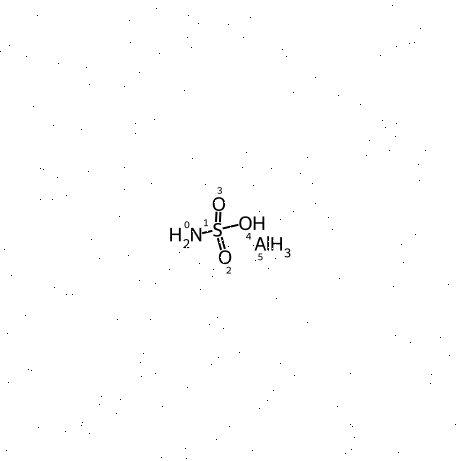 NS(=O)(=O)O.[AlH3]